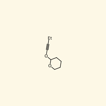 CCC#COC1CCCCO1